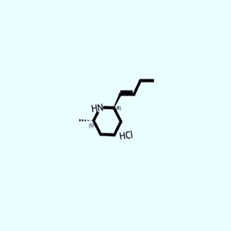 CCC=C[C@H]1CCC[C@H](C)N1.Cl